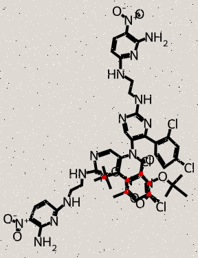 CC(=O)N(OC(C)(C)C)C(C(=O)N(c1cnc(NCCNc2ccc([N+](=O)[O-])c(N)n2)nc1-c1ccc(Cl)cc1Cl)c1cnc(NCCNc2ccc([N+](=O)[O-])c(N)n2)nc1-c1ccc(Cl)cc1Cl)N(OC(C)(C)C)C(C)=O